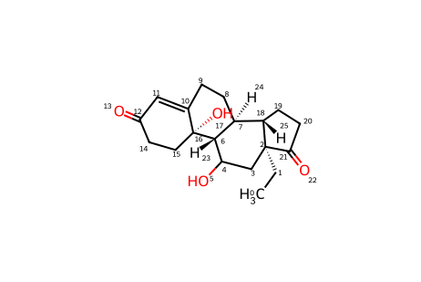 CC[C@]12CC(O)[C@H]3[C@@H](CCC4=CC(=O)CC[C@@]43O)[C@@H]1CCC2=O